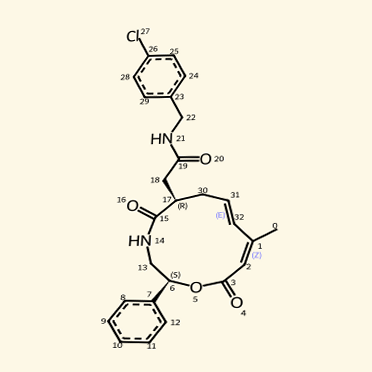 CC1=C/C(=O)O[C@@H](c2ccccc2)CNC(=O)[C@@H](CC(=O)NCc2ccc(Cl)cc2)C\C=C\1